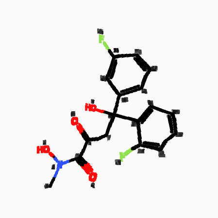 CN(O)C(=O)C(=O)CC(O)(c1cccc(F)c1)c1ccccc1F